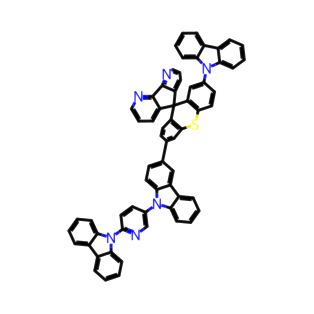 c1cnc2c(c1)C1(c3ccc(-c4ccc5c(c4)c4ccccc4n5-c4ccc(-n5c6ccccc6c6ccccc65)nc4)cc3Sc3ccc(-n4c5ccccc5c5ccccc54)cc31)c1cccnc1-2